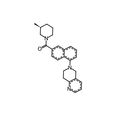 C[C@H]1CCCN(C(=O)c2ccc3c(N4CCc5ncccc5C4)cccc3c2)C1